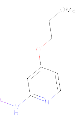 COCCOc1ccnc(NI)c1